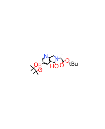 C[C@H](C(=O)OC(C)(C)C)N1Cc2ncc(B3OC(C)(C)C(C)(C)O3)cc2C1O